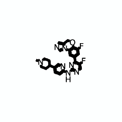 CN1CCC(c2ccc(Nc3ncc(F)c(-c4cc(F)c5c(c4)-n4cncc4CO5)n3)nc2)CC1